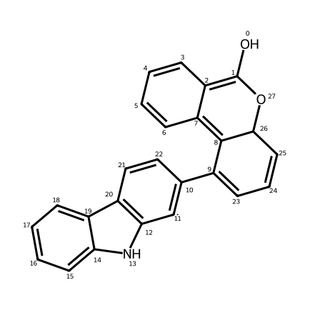 OC1=c2ccccc2=C2C(c3[c]c4[nH]c5ccccc5c4cc3)=CC=CC2O1